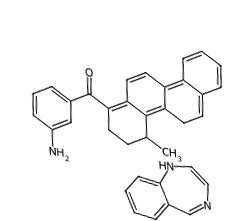 C1=CNc2ccccc2C=N1.CC1CCC(C(=O)c2cccc(N)c2)=c2ccc3c(c21)CC=c1ccccc1=3